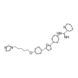 N=C(Nc1ccc(-c2ccc(-c3ccc(OCCCCCn4ccnc4)cc3)o2)cc1)c1ccccn1